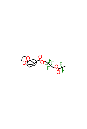 CC(F)(F)C(=O)OCC(F)(F)C(F)(F)COC(=O)C12CC3CC(C1)C1(OCCCO1)C(C3)C2